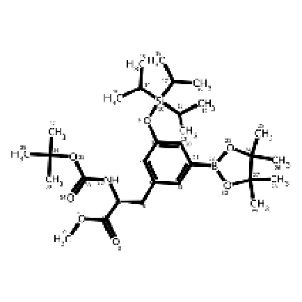 COC(=O)[C@H](Cc1cc(O[Si](C(C)C)(C(C)C)C(C)C)cc(B2OC(C)(C)C(C)(C)O2)c1)NC(=O)OC(C)(C)C